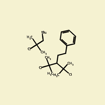 CC(C)(C)CC(C)(C)Cl.CC(C)(Cl)C(CCc1ccccc1)C(C)(C)Cl